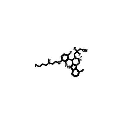 C[C@@H]1Cc2c([nH]c3cccc(F)c23)C(c2c(F)ccc(OCCNCCCF)c2F)N1CC(F)(F)CO